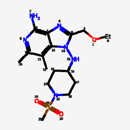 CCOCc1nc2c(N)nc(C)c(C)c2n1NC1CCN(S(C)(=O)=O)CC1